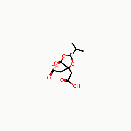 CC(C)B1OC(=O)C(CC(=O)O)(CC(=O)O)O1